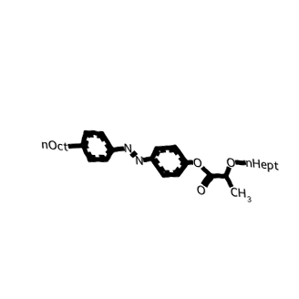 CCCCCCCCc1ccc(/N=N/c2ccc(OC(=O)C(C)OCCCCCCC)cc2)cc1